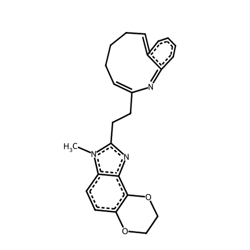 Cn1c(CCC2=C\CCC\C=c3/cccc/c3=N/2)nc2c3c(ccc21)OCCO3